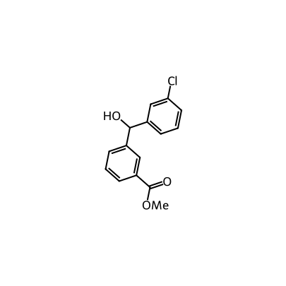 COC(=O)c1cccc(C(O)c2cccc(Cl)c2)c1